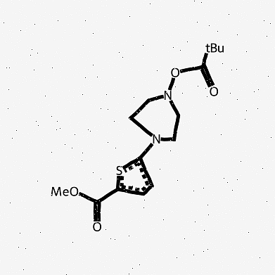 COC(=O)c1ccc(N2CCN(OC(=O)C(C)(C)C)CC2)s1